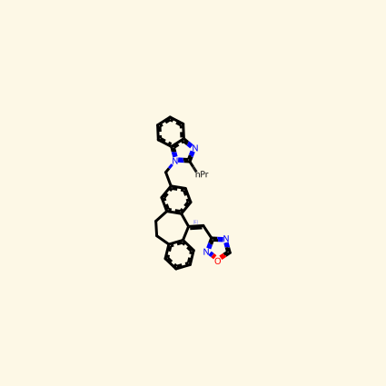 CCCc1nc2ccccc2n1Cc1ccc2c(c1)CCc1ccccc1/C2=C\c1ncon1